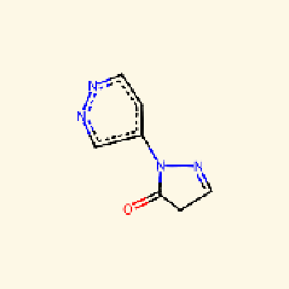 O=C1CC=NN1c1ccnnc1